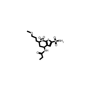 CCC(=O)NC1CC(CCCOC)S(=O)(=O)c2sc(S(N)(=O)=O)cc21